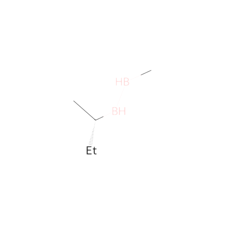 CBB[C@@H](C)CC